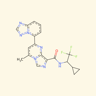 Cc1cc(-c2cccc3ncnn23)nc2c(C(=O)NC(C3CC3)C(F)(F)F)ncn12